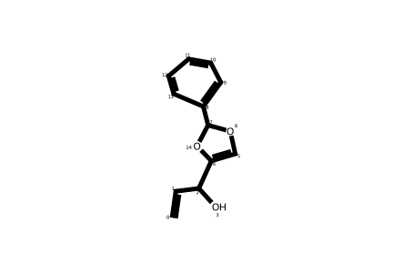 C=CC(O)C1=COC(c2ccccc2)O1